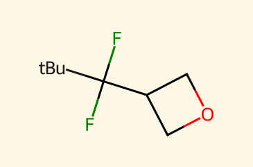 CC(C)(C)C(F)(F)C1COC1